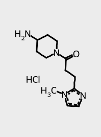 Cl.Cn1ccnc1CCC(=O)N1CCC(N)CC1